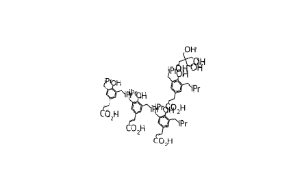 CC(C)Cc1cc(CCC(=O)O)cc(CC(C)C)c1O.CC(C)Cc1cc(CCC(=O)O)cc(CC(C)C)c1O.CC(C)Cc1cc(CCC(=O)O)cc(CC(C)C)c1O.CC(C)Cc1cc(CCC(=O)O)cc(CC(C)C)c1O.OCC(CO)(CO)CO